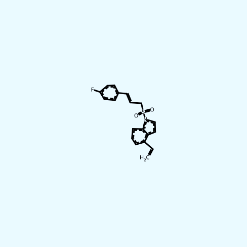 C=Cc1cccc2c1ccn2S(=O)(=O)CC=Cc1ccc(F)cc1